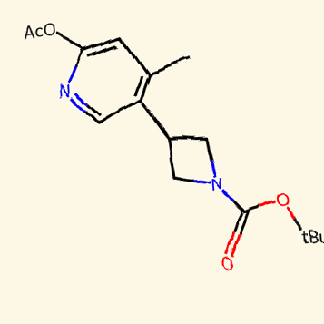 CC(=O)Oc1cc(C)c(C2CN(C(=O)OC(C)(C)C)C2)cn1